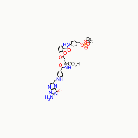 CCOP(=O)(OCC)OCc1ccc(NC(=O)c2ccccc2OC(=O)CC[C@H](NC(=O)c2ccc(NCc3cnc4[nH]c(N)nc(=O)c4n3)cc2)C(=O)O)cc1